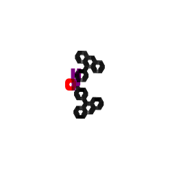 O=[PH](c1ccc(-c2c3ccccc3cc3ccccc23)cc1)c1ccc(-c2c3ccccc3cc3ccccc23)cc1